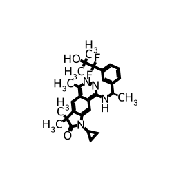 Cc1nnc(N[C@H](C)c2cccc(C(F)(F)C(C)(C)O)c2)c2cc3c(cc12)C(C)(C)C(=O)N3C1CC1